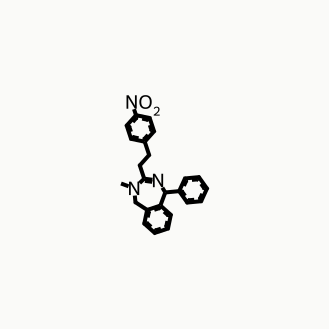 CN1Cc2ccccc2C(c2ccccc2)N=C1CCc1ccc([N+](=O)[O-])cc1